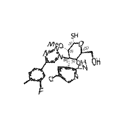 CO[C@@H]1[C@H](S)O[C@@H](CO)[C@@H](O)[C@@]1(c1cc(Cl)cnc1C#N)n1cc(-c2ccc(C)c(F)c2)nn1